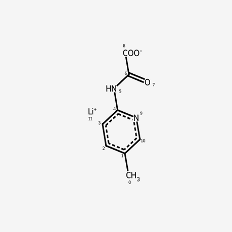 Cc1ccc(NC(=O)C(=O)[O-])nc1.[Li+]